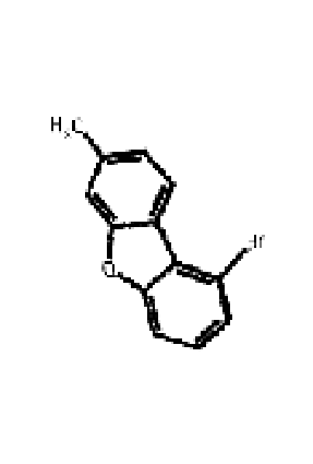 Cc1ccc2c(c1)oc1cccc(Br)c12